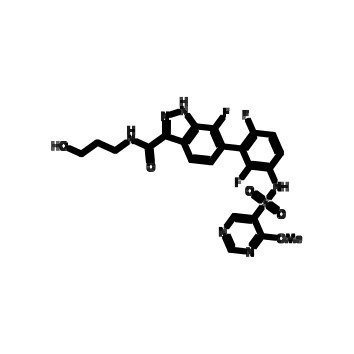 COc1ncncc1S(=O)(=O)Nc1ccc(F)c(-c2ccc3c(C(=O)NCCCO)n[nH]c3c2F)c1F